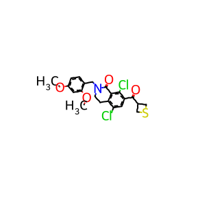 COc1ccc(CN2CCc3c(Cl)cc(C(=O)C4CSC4)c(Cl)c3C2=O)c(OC)c1